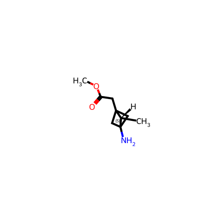 COC(=O)CC12CC(N)(C1)[C@H]2C